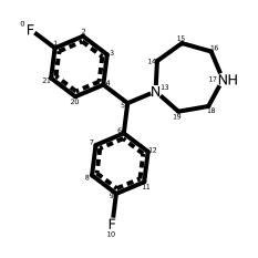 Fc1ccc(C(c2ccc(F)cc2)N2CCCNCC2)cc1